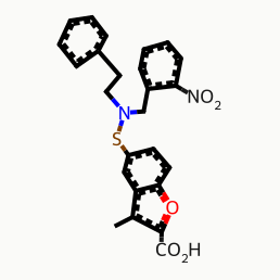 Cc1c(C(=O)O)oc2ccc(SN(CCc3ccccc3)Cc3ccccc3[N+](=O)[O-])cc12